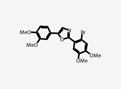 COc1ccc(-c2cnc(-c3cc(OC)c(OC)cc3Br)o2)cc1OC